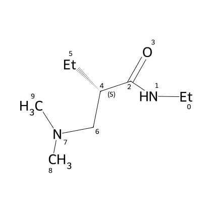 CCNC(=O)[C@@H](CC)CN(C)C